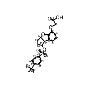 O=C(O)COc1cccc2c1OC1CCC(OS(=O)(=O)c3ccc(C(F)(F)F)cc3)C21